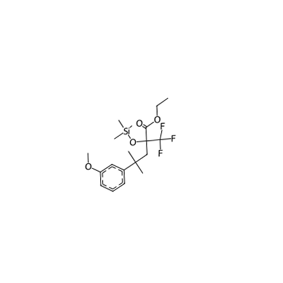 CCOC(=O)C(CC(C)(C)c1cccc(OC)c1)(O[Si](C)(C)C)C(F)(F)F